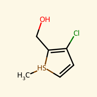 C[SH]1C=CC(Cl)=C1CO